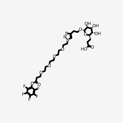 O=C(O)CC[C@H]1O[C@H](OCCc2cn(CCOCCOCCOCCOCCC(=O)Oc3c(F)c(F)c(F)c(F)c3F)nn2)[C@@H](O)[C@@H](O)[C@@H]1O